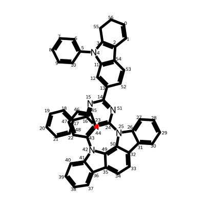 C1=Cc2c(n(-c3ccccc3)c3cc(-c4nc(-c5ccccc5)nc(-n5c6ccccc6c6ccc7c8ccccc8n(-c8ccccc8)c7c65)n4)ccc23)CC1